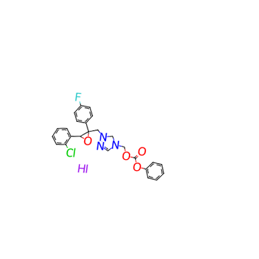 I.O=C(OCN1C=NN(CC2(c3ccc(F)cc3)OC2c2ccccc2Cl)C1)Oc1ccccc1